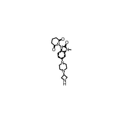 Cn1c(=O)n(N2C(=O)CCCC2=O)c2ccc(N3CCN(C4CNC4)CC3)cc21